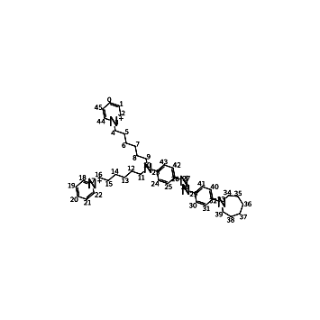 c1cc[n+](CCCCCCN(CCCCCC[n+]2ccccc2)c2ccc(N=Nc3ccc(N4CCCCCC4)cc3)cc2)cc1